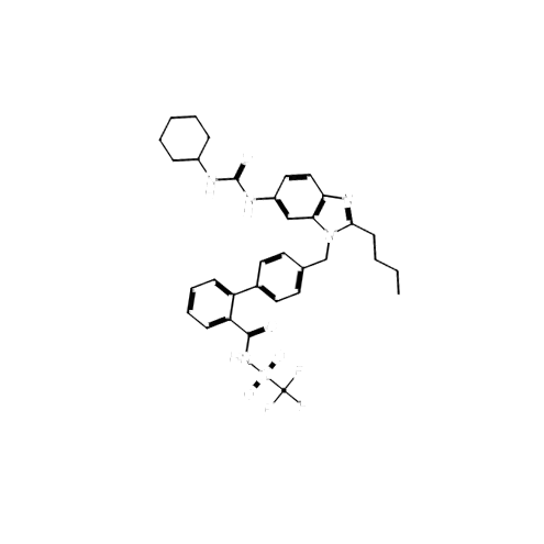 CCCCc1nc2ccc(NC(=O)NC3CCCCC3)cc2n1Cc1ccc(-c2ccccc2C(=O)NS(=O)(=O)C(F)(F)F)cc1